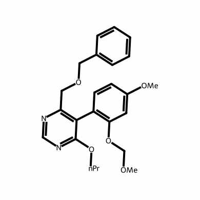 CCCOc1ncnc(COCc2ccccc2)c1-c1ccc(OC)cc1OCOC